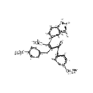 CCOC(=O)c1ccc(CC(C(=O)c2ccc(C)cc2)=C(C(=O)[O-])c2ccc3nsnc3c2)cc1.[Na+]